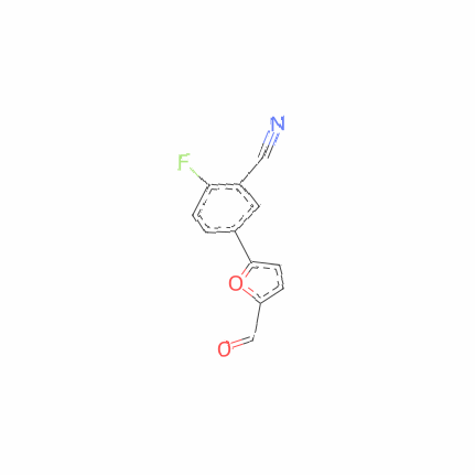 N#Cc1cc(-c2ccc(C=O)o2)ccc1F